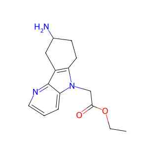 CCOC(=O)Cn1c2c(c3ncccc31)CC(N)CC2